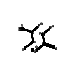 CC(=O)OF.FCC(F)S